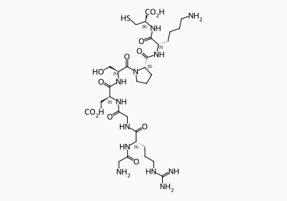 N=C(N)NCCC[C@H](NC(=O)CN)C(=O)NCC(=O)N[C@@H](CC(=O)O)C(=O)N[C@@H](CO)C(=O)N1CCC[C@H]1C(=O)N[C@@H](CCCCN)C(=O)N[C@@H](CS)C(=O)O